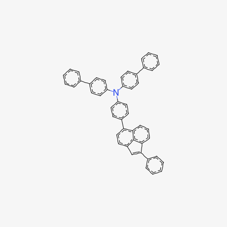 C1=C(c2ccccc2)c2cccc3c(-c4ccc(N(c5ccc(-c6ccccc6)cc5)c5ccc(-c6ccccc6)cc5)cc4)ccc1c23